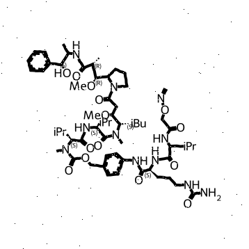 C=NOCC(=O)NC(C(=O)N[C@@H](CCCNC(N)=O)C(=O)Nc1ccc(COC(=O)N(C)[C@H](C(=O)N[C@H](C(=O)N(C)C(C(CC(=O)N2CCCC2[C@H](OC)[C@@H](C)C(=O)NC(C)[C@@H](O)c2ccccc2)OC)[C@@H](C)CC)C(C)C)C(C)C)cc1)C(C)C